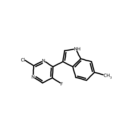 Cc1ccc2c(-c3nc(Cl)ncc3F)c[nH]c2c1